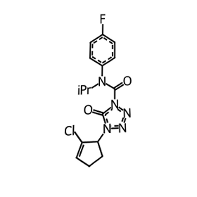 CC(C)N(C(=O)n1nnn(C2CCC=C2Cl)c1=O)c1ccc(F)cc1